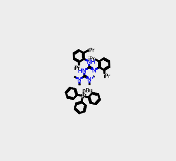 CC(C)c1cccc(C(C)C)c1N=C(NC(N(C)C)=[N+](C)C)Nc1c(C(C)C)cccc1C(C)C.CCCC[B-](c1ccccc1)(c1ccccc1)c1ccccc1